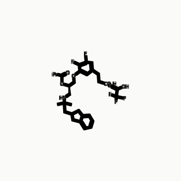 CC(C)C(=O)O[C@H](CNC(C)(C)CC1Cc2ccccc2C1)COc1cc(CCC(=O)O)cc(F)c1F.O=C(O)C(F)(F)F